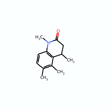 Cc1ccc2c(c1C)C(C)CC(=O)N2C